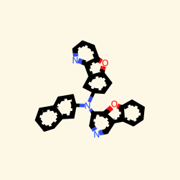 c1ccc2cc(N(c3ccc4oc5cccnc5c4c3)c3cncc4c3oc3ccccc34)ccc2c1